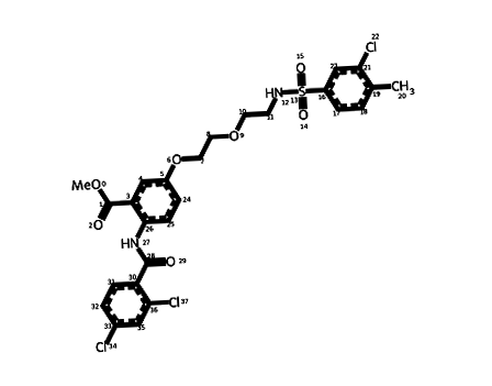 COC(=O)c1cc(OCCOCCNS(=O)(=O)c2ccc(C)c(Cl)c2)ccc1NC(=O)c1ccc(Cl)cc1Cl